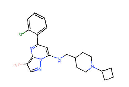 Bc1cnn2c(NCC3CCN(C4CCC4)CC3)cc(-c3ccccc3Cl)nc12